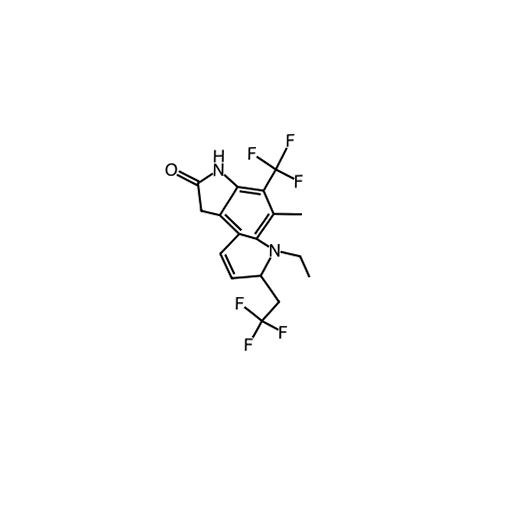 CCN1c2c(C)c(C(F)(F)F)c3c(c2C=CC1CC(F)(F)F)CC(=O)N3